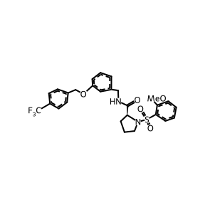 COc1ccccc1S(=O)(=O)N1CCC[C@H]1C(=O)NCc1cccc(OCc2ccc(C(F)(F)F)cc2)c1